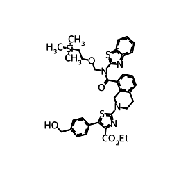 CCOC(=O)c1nc(N2CCc3cccc(C(=O)N(COCC[Si](C)(C)C)c4nc5ccccc5s4)c3C2)sc1-c1ccc(CO)cc1